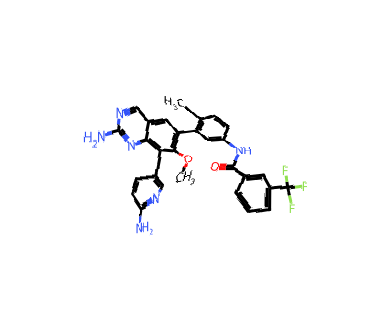 COc1c(-c2cc(NC(=O)c3cccc(C(F)(F)F)c3)ccc2C)cc2cnc(N)nc2c1-c1ccc(N)nc1